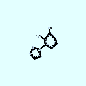 N#Cc1cccc(-n2ccnn2)c1N